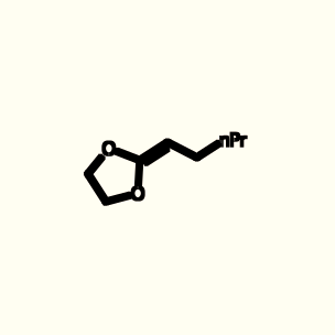 CCCCC=C1OCCO1